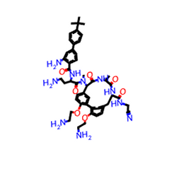 CC1NC(=O)C(N(C)C(=O)C(CCN)NC(=O)c2ccc(-c3ccc(C(C)(C)C)cc3)cc2N)c2ccc(OCCN)c(c2)-c2cc(ccc2OCCN)CC(C(=O)NCC#N)NC1=O